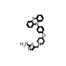 Nc1ncc(CN2CCC(Oc3ccc(N4c5ccccc5Sc5ccccc54)cc3)CC2)s1